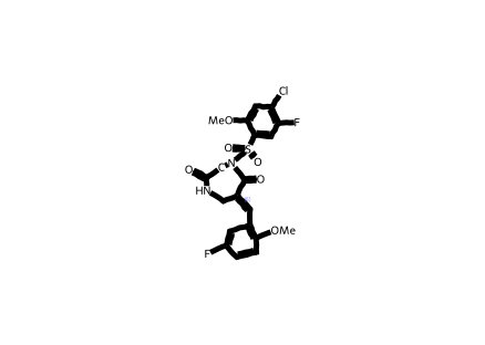 COc1ccc(F)cc1/C=C1\CNC(=O)CN(S(=O)(=O)c2cc(F)c(Cl)cc2OC)C1=O